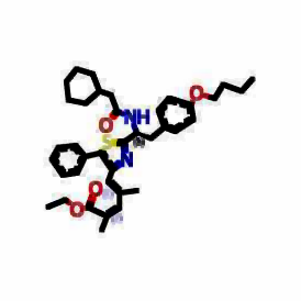 CCCCOc1ccc(C[C@H](NC(=O)CC2CCCCC2)c2nc(/C=C(C)/C=C(/C)C(=O)OCC)c(-c3ccccc3)s2)cc1